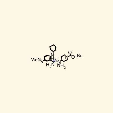 CNSc1ccc(NC2CCCCC2)c(/C(N)=N/N(N)C2CCN(C(=O)OC(C)(C)C)CC2)c1